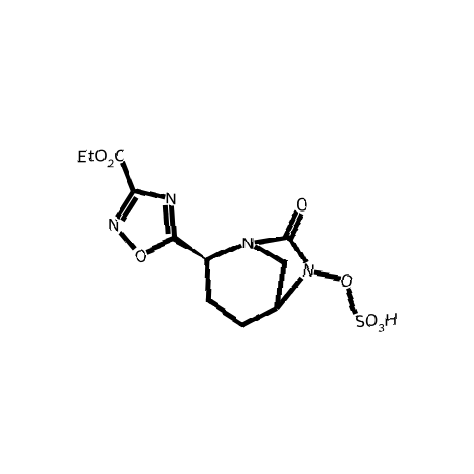 CCOC(=O)c1noc([C@@H]2CCC3CN2C(=O)N3OS(=O)(=O)O)n1